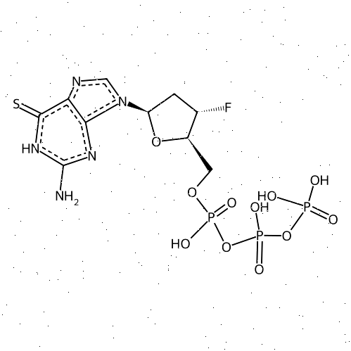 Nc1nc2c(ncn2[C@H]2C[C@H](F)[C@@H](COP(=O)(O)OP(=O)(O)OP(=O)(O)O)O2)c(=S)[nH]1